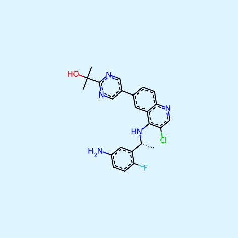 C[C@@H](Nc1c(Cl)cnc2ccc(-c3cnc(C(C)(C)O)nc3)cc12)c1cc(N)ccc1F